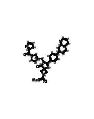 COC(=O)N1CC2(C1)N=C(c1ccc(-c3ccc4cccnc4c3)cc1)N(C[C@@H]1CCN(C(=O)c3nccs3)C1)C2=O